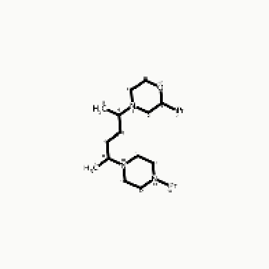 CC(C)C1CN(C(C)CCC(C)N2CCN(C(C)C)CC2)CCO1